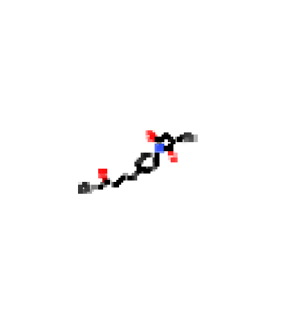 CC(C)(C)CC(=O)CCCc1ccc(N2C(=O)CC(C(C)(C)C)C2=O)cc1